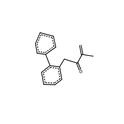 C=C(C)C(=O)Cc1ccccc1-c1ccccc1